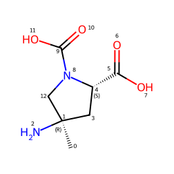 C[C@@]1(N)C[C@@H](C(=O)O)N(C(=O)O)C1